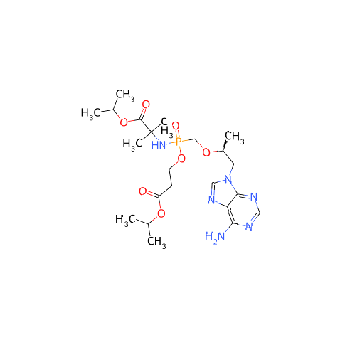 CC(C)OC(=O)CCOP(=O)(CO[C@@H](C)Cn1cnc2c(N)ncnc21)NC(C)(C)C(=O)OC(C)C